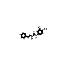 Oc1ccc(NC(=S)NCCc2ccccc2)cc1Cl